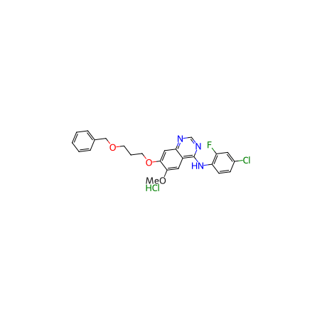 COc1cc2c(Nc3ccc(Cl)cc3F)ncnc2cc1OCCCOCc1ccccc1.Cl